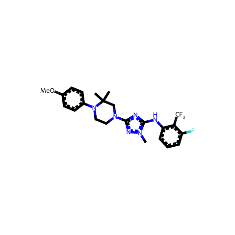 COc1ccc(N2CCN(c3nc(Nc4cccc(F)c4C(F)(F)F)n(C)n3)CC2(C)C)cc1